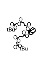 CC(C)(C)OC(=O)COC(=O)CCC(=O)OC12CC3CC(C1)CC(OC(=O)CCC(=O)OCC(=O)OC(C)(C)C)(C3)C2